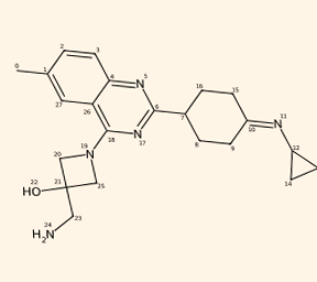 Cc1ccc2nc(C3CCC(=NC4CC4)CC3)nc(N3CC(O)(CN)C3)c2c1